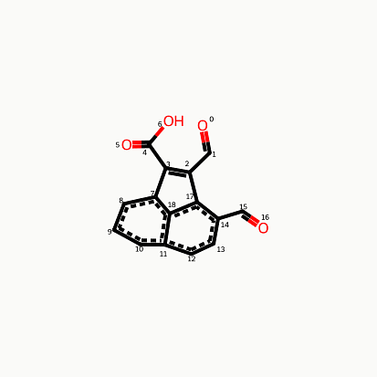 O=CC1=C(C(=O)O)c2cccc3ccc(C=O)c1c23